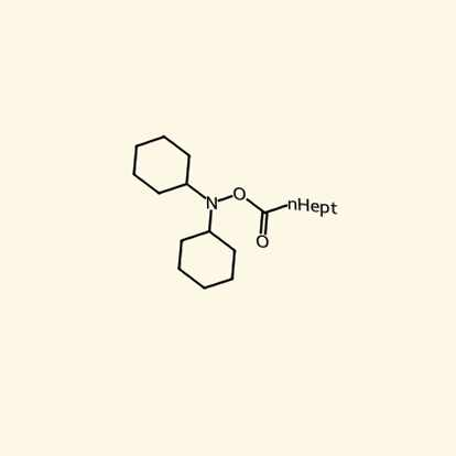 CCCCCCCC(=O)ON(C1CCCCC1)C1CCCCC1